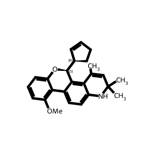 COc1cccc2c1-c1ccc3c(c1[C@H]([C@H]1C=CCC1)O2)C(C)=CC(C)(C)N3